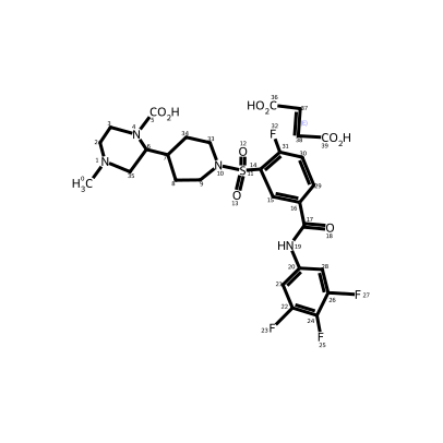 CN1CCN(C(=O)O)C(C2CCN(S(=O)(=O)c3cc(C(=O)Nc4cc(F)c(F)c(F)c4)ccc3F)CC2)C1.O=C(O)/C=C/C(=O)O